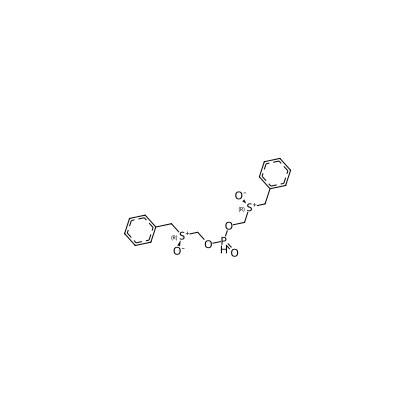 O=[PH](OC[S@@+]([O-])Cc1ccccc1)OC[S@@+]([O-])Cc1ccccc1